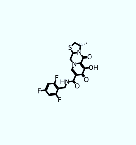 C[C@H]1CSC2Cn3cc(C(=O)NCc4c(F)cc(F)cc4F)c(=O)c(O)c3C(=O)N21